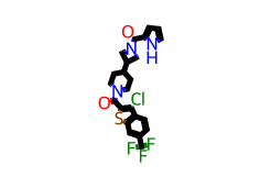 O=C(c1ccc[nH]1)N1CC(C2CCN(C(=O)c3sc4cc(C(F)(F)F)ccc4c3Cl)CC2)C1